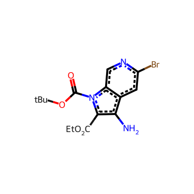 CCOC(=O)c1c(N)c2cc(Br)ncc2n1C(=O)OC(C)(C)C